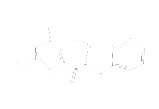 CC(C)(C)NC(Cc1ccccc1)C(=O)c1cc(O)cc(O)c1